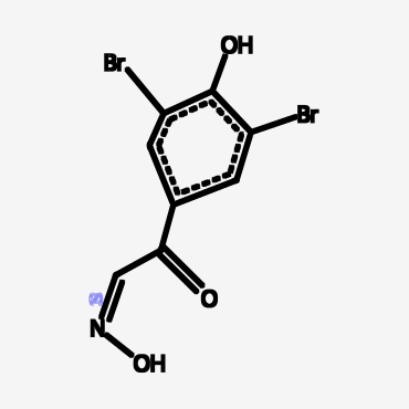 O=C(/C=N\O)c1cc(Br)c(O)c(Br)c1